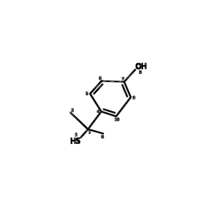 CC(C)(S)c1ccc(O)cc1